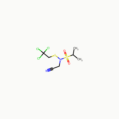 CC(C)S(=O)(=O)N(CC#N)SCC(Cl)(Cl)Cl